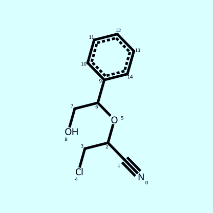 N#CC(CCl)OC(CO)c1ccccc1